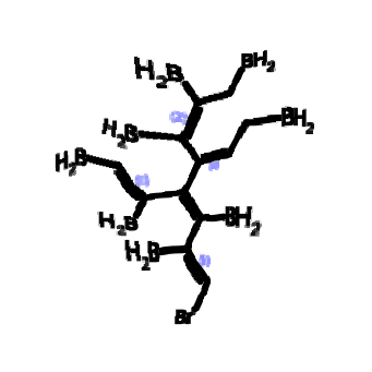 B/C=C(\B)C(=C(B)/C(B)=C/Br)C(=C/CB)/C(B)=C(/B)CB